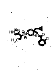 C=CC(c1c[nH]nn1)S(=O)(=O)N1CCC(CNC(=O)c2ccccc2Cl)(CC2CC2)CC1